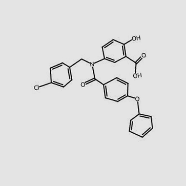 O=C(O)c1cc(N(Cc2ccc(Cl)cc2)C(=O)c2ccc(Oc3ccccc3)cc2)ccc1O